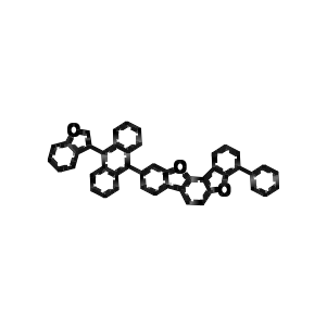 c1ccc(-c2cccc3c2oc2ccc4c5ccc(-c6c7ccccc7c(-c7coc8ccccc78)c7ccccc67)cc5oc4c23)cc1